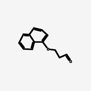 O=CCCOc1cccc2ccccc12